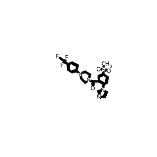 CS(=O)(=O)c1ccc(-n2ccnc2)c(C(=O)N2CCN(c3ccc(C(F)(F)F)cc3)CC2)c1